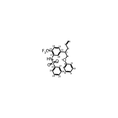 C=CCC(COc1c[c]ccc1)c1ccc(C(F)(F)F)c(NS(=O)(=O)c2ccccc2)c1